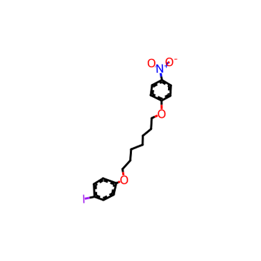 O=[N+]([O-])c1ccc(OCCCCCCCOc2ccc(I)cc2)cc1